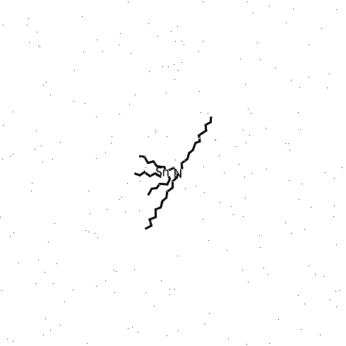 CCCCCCCCCCCCN(CCCCCCCCCCCC)[CH2][Sn]([CH2]CCCCC)([CH2]CCCCC)[CH2]CCCCC